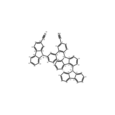 N#Cc1ccc(-n2c3ccccc3c3c(-n4c5ccccc5c5ccccc54)cccc32)c(-c2cccc(-n3c4ccccc4c4ccc(C#N)cc43)c2)c1